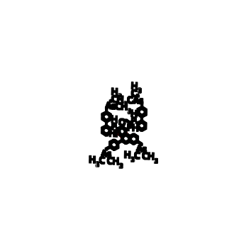 CC[As](CC)Cc1ccc(-c2ccccc2PC(COCC(Pc2ccccc2-c2ccc(C[As](CC)CC)cc2)Pc2ccccc2-c2ccc(C[As](CC)CC)cc2)Pc2ccccc2-c2ccc(C[As](CC)CC)cc2)cc1